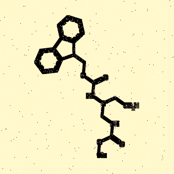 CC(C)(C)OC(=O)NCN(CC(=O)O)NC(=O)OCC1c2ccccc2-c2ccccc21